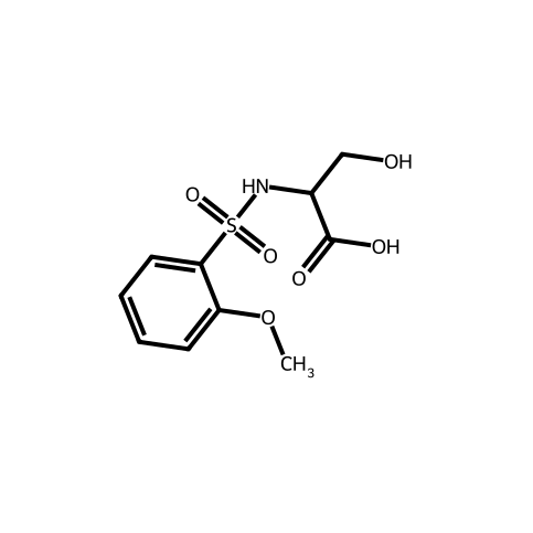 COc1ccccc1S(=O)(=O)NC(CO)C(=O)O